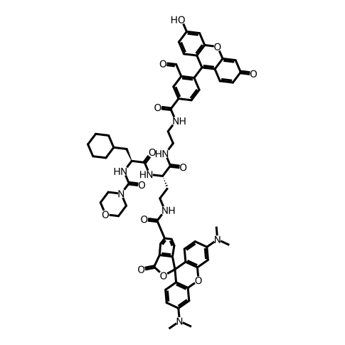 CN(C)c1ccc2c(c1)Oc1cc(N(C)C)ccc1C21OC(=O)c2cc(C(=O)NCC[C@H](NC(=O)[C@H](CC3CCCCC3)NC(=O)N3CCOCC3)C(=O)NCCNC(=O)c3ccc(-c4c5ccc(=O)cc-5oc5cc(O)ccc45)c(C=O)c3)ccc21